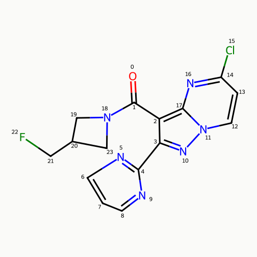 O=C(c1c(-c2ncccn2)nn2ccc(Cl)nc12)N1CC(CF)C1